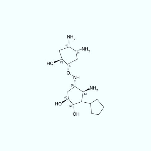 N[C@@H]1C[C@H](ON[C@H]2C[C@H](O)[C@@H](O)C(C3CCCC3)[C@@H]2N)[C@@H](O)C[C@@H]1N